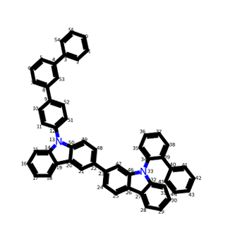 c1ccc(-c2cccc(-c3ccc(-n4c5ccccc5c5cc(-c6ccc7c8ccccc8n(-c8ccccc8-c8ccccc8)c7c6)ccc54)cc3)c2)cc1